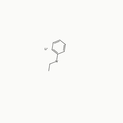 CC[N-]c1ccccc1.[Li+]